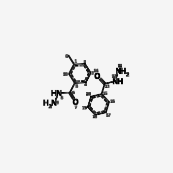 Cc1cccc(C(=O)NN)c1.NNC(=O)c1ccccc1